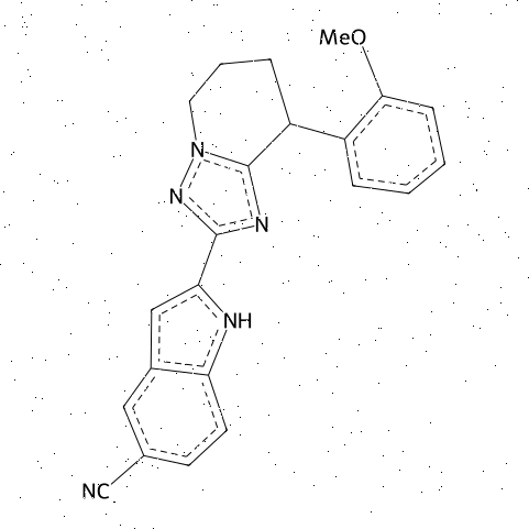 COc1ccccc1C1CCCn2nc(-c3cc4cc(C#N)ccc4[nH]3)nc21